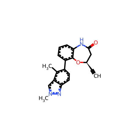 C#C[C@@H]1CC(=O)Nc2cccc(-c3ccc4nn(C)cc4c3C)c2O1